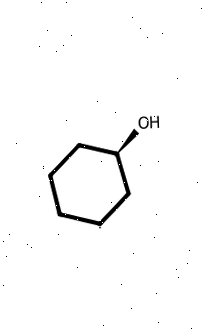 O[C@H]1C[CH]CCC1